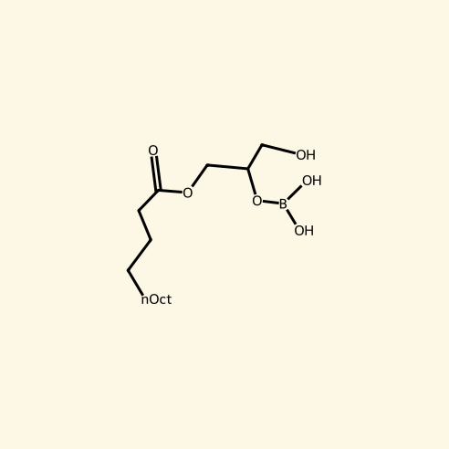 CCCCCCCCCCCC(=O)OCC(CO)OB(O)O